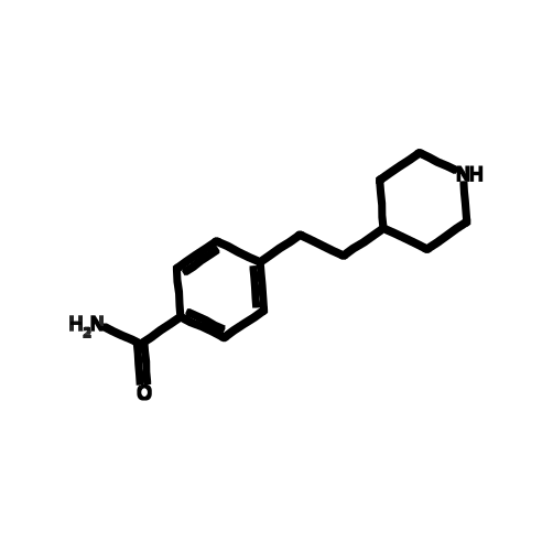 NC(=O)c1ccc(CCC2CCNCC2)cc1